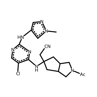 CC(=O)N1CC2CC(CC#N)(Nc3nc(Nc4cnn(C)c4)ncc3Cl)CC2C1